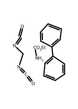 CCOC(N)=O.O=C=NCN=C=O.c1ccc(-c2ccccc2)cc1